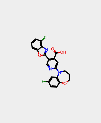 O=C(O)c1cc(N2CCCOc3ccc(F)cc32)ncc1-c1nc2c(Cl)cccc2o1